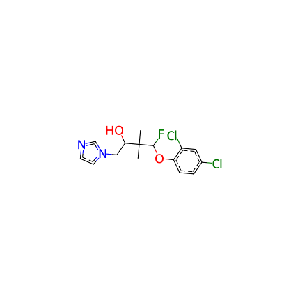 CC(C)(C(O)Cn1ccnc1)C(F)Oc1ccc(Cl)cc1Cl